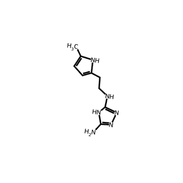 Cc1ccc(CCNc2nnc(N)[nH]2)[nH]1